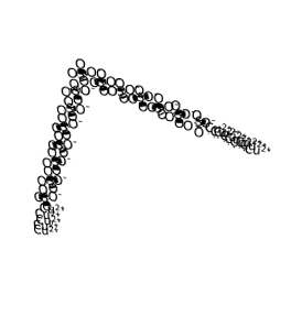 O=S(=O)([O-])[O-].O=S(=O)([O-])[O-].O=S(=O)([O-])[O-].O=S(=O)([O-])[O-].O=S(=O)([O-])[O-].O=S(=O)([O-])[O-].O=S(=O)([O-])[O-].O=S(=O)([O-])[O-].O=S(=O)([O-])[O-].O=S(=O)([O-])[O-].O=S(=O)([O-])[O-].O=S(=O)([O-])[O-].O=S(=O)([O-])[O-].O=S(=O)([O-])[O-].[Cu+2].[Cu+2].[Cu+2].[Cu+2].[Cu+2].[Cu+2].[Cu+2].[Cu+2].[Cu+2].[Cu+2].[Cu+2].[Cu+2].[Cu+2].[Cu+2]